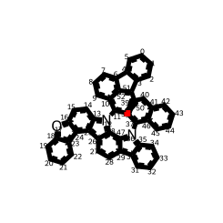 c1ccc2c(c1)-c1cccc3c(-n4c5ccc6oc7ccccc7c6c5c5ccc6c7ccccc7n(-c7cccc8ccccc78)c6c54)ccc-2c13